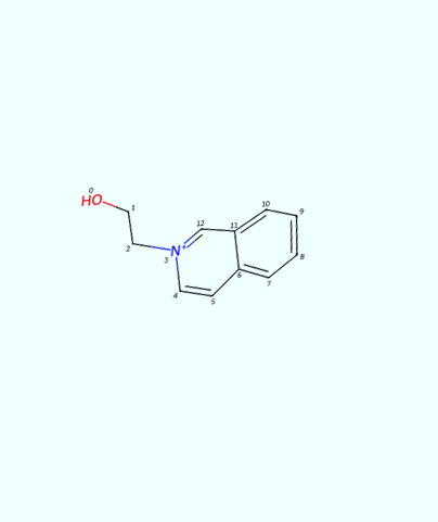 OCC[n+]1ccc2ccccc2c1